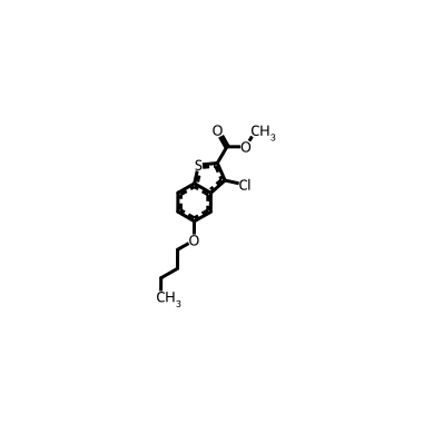 CCCCOc1ccc2sc(C(=O)OC)c(Cl)c2c1